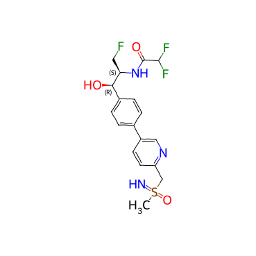 CS(=N)(=O)Cc1ccc(-c2ccc([C@@H](O)[C@@H](CF)NC(=O)C(F)F)cc2)cn1